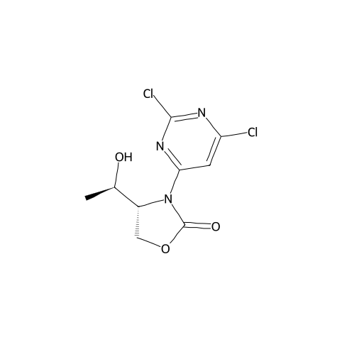 C[C@@H](O)[C@H]1COC(=O)N1c1cc(Cl)nc(Cl)n1